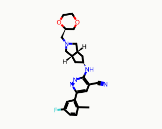 Cc1ccc(F)cc1-c1cc(C#N)c(N[C@@H]2C[C@@H]3CN(C[C@@H]4COCCO4)C[C@@H]3C2)nn1